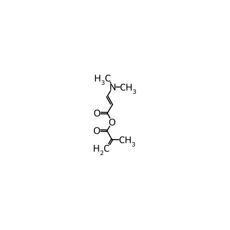 C=C(C)C(=O)OC(=O)C=CN(C)C